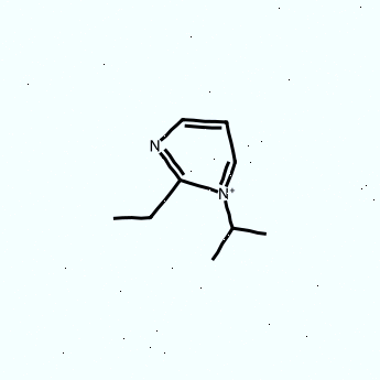 CCc1nccc[n+]1C(C)C